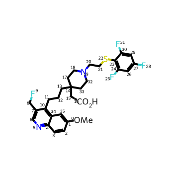 COc1ccc2ncc(CF)c(CCCC3(CC(=O)O)CCN(CCSc4c(F)cc(F)cc4F)CC3)c2c1